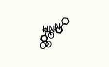 O=C(Nc1cccc(C2=CCCCC2)n1)C1(c2ccc3c(c2)OCO3)CC1